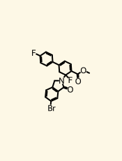 COC(=O)C1=CC=C(c2ccc(F)cc2)CC1(F)N1Cc2ccc(Br)cc2C1=O